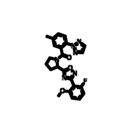 COc1cccc(F)c1-c1noc(C2CCCN2C(=O)c2cc(C)ccc2-n2nccn2)n1